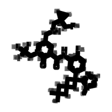 Cn1cnnc1C1(c2ccc(F)c(NC(=O)c3cc(CNCC4(CF)CC4)cn(CC(F)(F)F)c3=O)c2)CC2(CC(C)(C)C2)C1